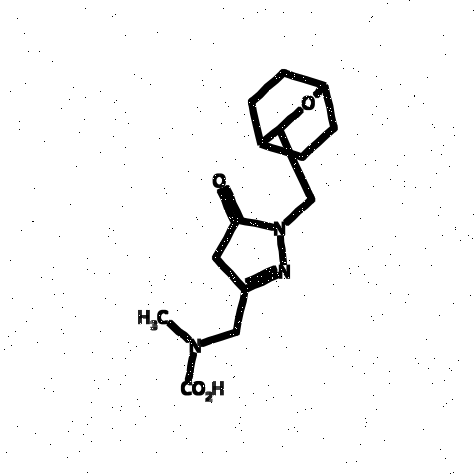 CN(CC1=NN(CC2OC3CCC2CC3)C(=O)C1)C(=O)O